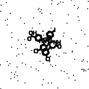 O=C1C[C@@H](c2cccc(Cl)c2)[C@]2(C(=O)Nc3cc(Cl)ccc32)[C@@H](c2cc(I)ccc2Oc2ccc(C(=O)O)cc2)N1